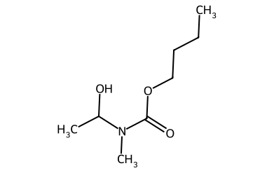 CCCCOC(=O)N(C)C(C)O